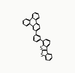 c1cc(-c2ccc3c4ccccc4c4ccccc4c3c2)cc(-c2cccc3c2sc2sc4ccccc4c23)c1